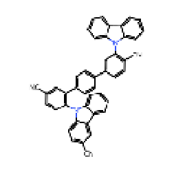 N#Cc1ccc(-n2c3ccccc3c3cc(C#N)ccc32)c(-c2ccc(-c3ccc(C#N)c(-n4c5ccccc5c5ccccc54)c3)cc2)c1